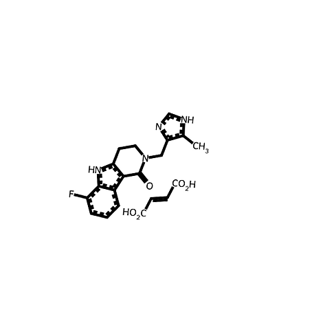 Cc1[nH]cnc1CN1CCc2[nH]c3c(F)cccc3c2C1=O.O=C(O)C=CC(=O)O